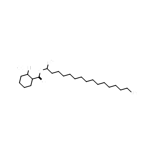 CCCC(CCCCCCCCCCCCCCC(C)C)OC(=O)C1CCCCC1C(=O)O